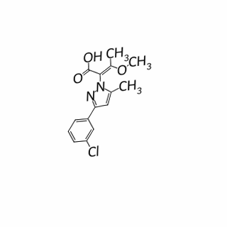 COC(C)=C(C(=O)O)n1nc(-c2cccc(Cl)c2)cc1C